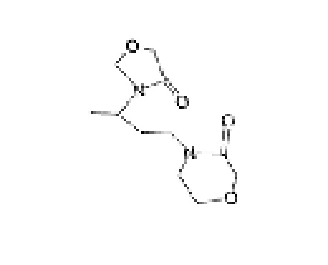 CC(CCN1CCOCC1=O)N1COCC1=O